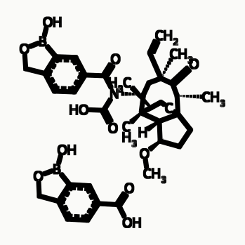 C=C[C@]1(C)C[C@@H](N(C(=O)O)C(=O)c2ccc3c(c2)B(O)OC3)[C@]2(C)[C@H](C)CC[C@]3(CC[C@@H](OC)[C@@H]32)[C@@H](C)C1=O.O=C(O)c1ccc2c(c1)B(O)OC2